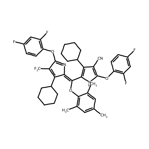 Cc1cc(C)c(O/C(=C2/N=C(Oc3ccc(F)cc3F)C(C(F)(F)F)=C2C2CCCCC2)c2[nH]c(Oc3ccc(F)cc3F)c(C#N)c2C2CCCCC2)c(C)c1